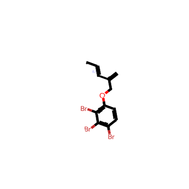 C=C(/C=C/C)COc1ccc(Br)c(Br)c1Br